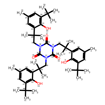 Cc1cc(C(C)(C)C)c(O)c(C(C)(C)Cn2c(=O)n(CC(C)(C)c3cc(C)cc(C(C)(C)C)c3O)c(=O)n(CC(C)(C)c3cc(C)cc(C(C)(C)C)c3O)c2=O)c1